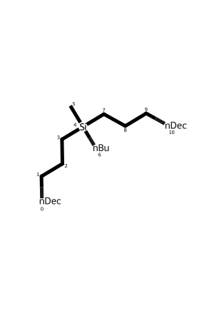 CCCCCCCCCCCCC[Si](C)(CCCC)CCCCCCCCCCCCC